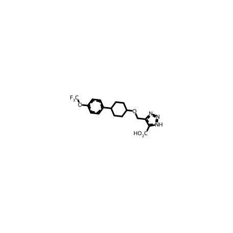 O=C(O)c1[nH]nnc1COC1CCC(c2ccc(OC(F)(F)F)cc2)CC1